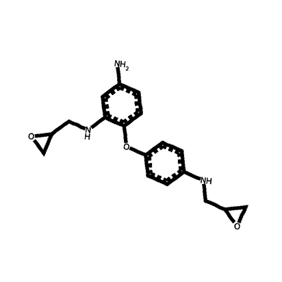 Nc1ccc(Oc2ccc(NCC3CO3)cc2)c(NCC2CO2)c1